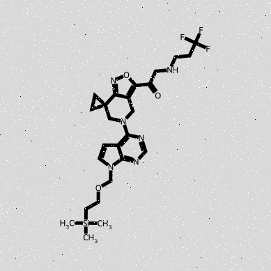 C[Si](C)(C)CCOCn1ccc2c(N3Cc4c(noc4C(=O)CNCCC(F)(F)F)C4(CC4)C3)ncnc21